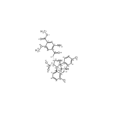 COC(=O)c1cc(N)c(C(=O)C[C@@H]2N[C@@]3(C(=O)Nc4cc(Cl)ccc43)[C@@H](c3cccc(Cl)c3F)[C@@H]2[N+](=O)[O-])cc1OC